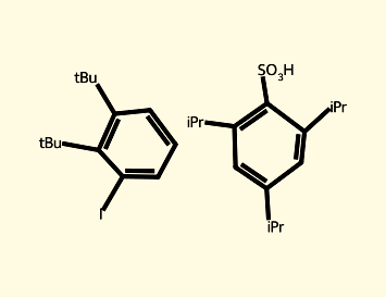 CC(C)(C)c1cccc(I)c1C(C)(C)C.CC(C)c1cc(C(C)C)c(S(=O)(=O)O)c(C(C)C)c1